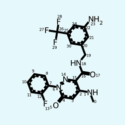 CNc1cc(=O)n(-c2ccccc2F)nc1C(=O)NCc1cc(N)cc(C(F)(F)F)c1